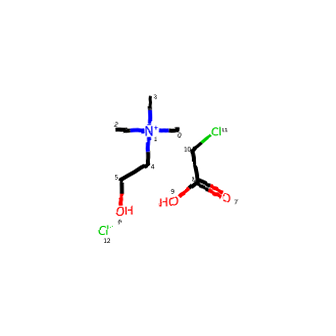 C[N+](C)(C)CCO.O=C(O)CCl.[Cl-]